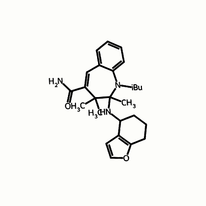 CCC(C)N1c2ccccc2C=C(C(N)=O)C(C)(C)C1(C)NC1CCCc2occc21